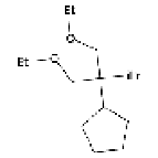 CCOCC(COCC)(C(C)C)C1CCCC1